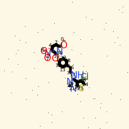 COc1ccc([N+](=O)[O-])c(Oc2ccc(CCNc3ncnc4scc(Cl)c34)cc2)n1